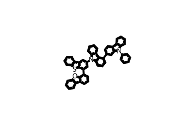 c1ccc(-n2c3ccccc3c3ccc(-c4cccc5c4c4ccccc4n5-c4cc(-c5cccc6c5oc5ccccc56)c5sc6ccccc6c5c4)cc32)cc1